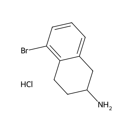 Cl.NC1CCc2c(Br)cccc2C1